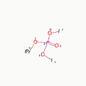 CC(C)OP(=O)(OI)OI